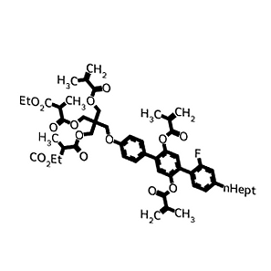 C=C(C)C(=O)OCC(COC(=O)C(C)C(=O)OCC)(COC(=O)C(C)C(=O)OCC)COc1ccc(-c2cc(OC(=O)C(=C)C)c(-c3ccc(CCCCCCC)cc3F)cc2OC(=O)C(=C)C)cc1